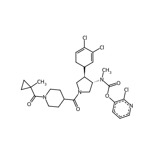 CN(C(=O)Oc1cccnc1Cl)[C@@H]1CN(C(=O)C2CCN(C(=O)C3(C)CC3)CC2)C[C@H]1C1C=C(Cl)C(Cl)=CC1